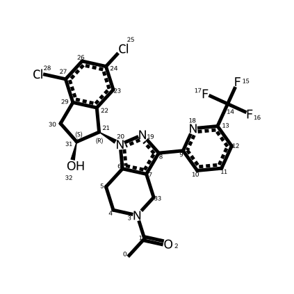 CC(=O)N1CCc2c(c(-c3cccc(C(F)(F)F)n3)nn2[C@@H]2c3cc(Cl)cc(Cl)c3C[C@@H]2O)C1